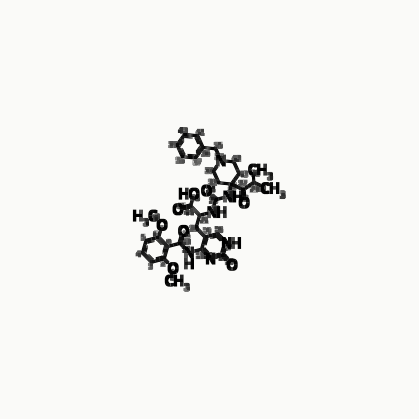 COc1cccc(OC)c1C(=O)Nc1nc(=O)[nH]cc1CC(NC(=O)NC1(C(=O)C(C)C)CCN(Cc2ccccc2)CC1)C(=O)O